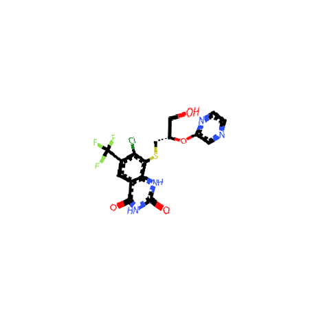 O=c1[nH]c(=O)c2cc(C(F)(F)F)c(Cl)c(SC[C@H](CO)Oc3cnccn3)c2[nH]1